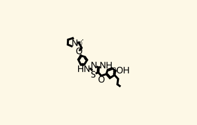 CCCc1cc(C(=O)c2sc(Nc3ccc(OC[C@@H](C)N4CCCC4)cc3)nc2N)ccc1O